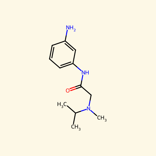 CC(C)N(C)CC(=O)Nc1cccc(N)c1